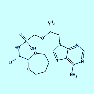 CC[C@H](NP(=O)(O)CO[C@H](C)Cn1cnc2c(N)ncnc21)C1OCCCCO1